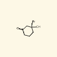 CC(C)[C@@]1(O)CCCC(=O)C1